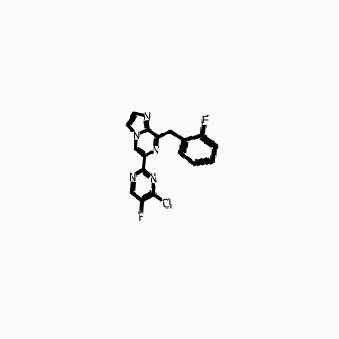 Fc1ccccc1Cc1nc(-c2ncc(F)c(Cl)n2)cn2ccnc12